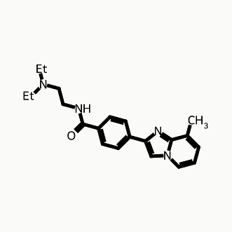 CCN(CC)CCNC(=O)c1ccc(-c2cn3cccc(C)c3n2)cc1